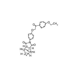 CCOc1ccc(C(=O)COc2ccc(N3C(=O)[C@@H]4[C@@H]5C=C[C@@H]([C@H]6C[C@@H]56)[C@@H]4C3=O)cc2)cc1